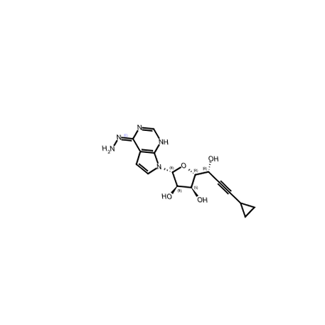 N/N=c1/nc[nH]c2c1ccn2[C@@H]1O[C@H]([C@H](O)C#CC2CC2)[C@@H](O)[C@H]1O